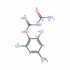 Cc1cc(Cl)c(NC(=N)NC(N)=O)c(Cl)c1